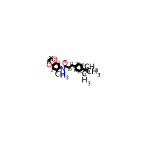 Cc1cc2c(cc1NC(=O)CCc1ccc(C(C)(C)C)cc1)OCCO2